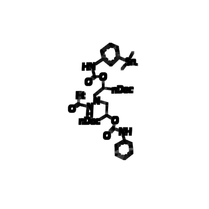 CCCCCCCCCCC(CN(CC(CCCCCCCCCC)OC(=O)Nc1ccc[c]([Sn]([CH3])([CH3])[CH3])c1)NC(=O)CC)OC(=O)Nc1ccccc1